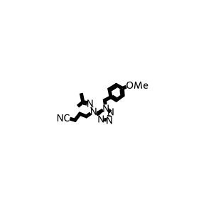 COc1ccc(Cn2nnnc2N(CCCC#N)N=C(C)C)cc1